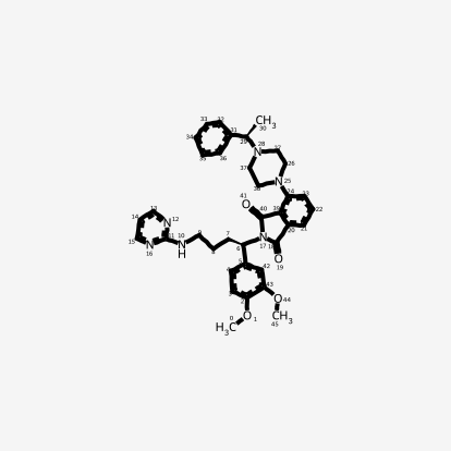 COc1ccc([C@@H](CCCNc2ncccn2)N2C(=O)c3cccc(N4CCN([C@H](C)c5ccccc5)CC4)c3C2=O)cc1OC